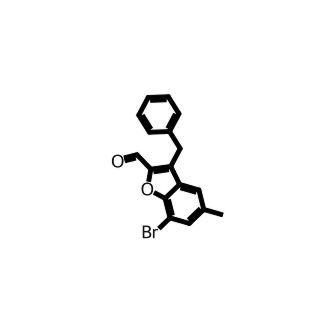 Cc1cc(Br)c2oc(C=O)c(Cc3ccccc3)c2c1